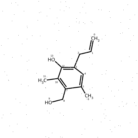 C=CCc1cc(C)c(CO)c(C)c1O